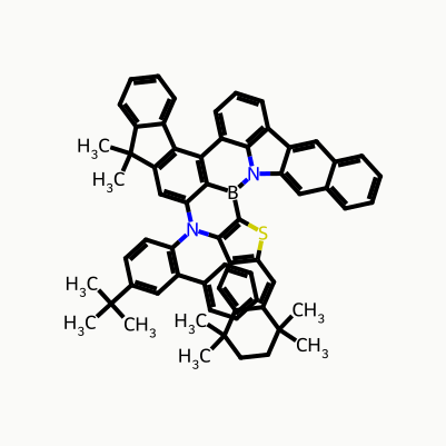 CC(C)(C)c1ccc(N2c3cc4c(c5c3B(c3sc6cc7c(cc6c32)C(C)(C)CCC7(C)C)n2c3cc6ccccc6cc3c3cccc-5c32)-c2ccccc2C4(C)C)c(-c2ccccc2)c1